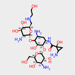 NC1CC1(O)C(=O)N[C@@H]1C[C@H](N)C(O[C@H]2O[C@H](CNCCO)[C@@H](O)[C@H](O)[C@H]2N)[C@H](O)[C@H]1O[C@H]1O[C@H](CO)[C@@H](O)[C@H](N)[C@H]1O